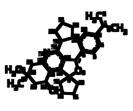 CC(C)c1ccc([C@H]2OC3(CCCC3)c3c4c(nc(C5CCCC5)c32)CC(C)(C)CC4O)cc1